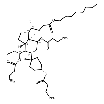 CCCCCCCCOC(=O)CC[C@@H](C)[C@H]1CC[C@H]2C([C@@H](CC)OC(=O)CCN)[C@@H]([C@]3(C)CC[C@H](OC(=O)CCN)CC3)C[C@H](OC(=O)CCN)[C@]12C